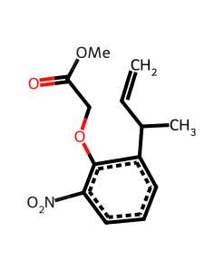 C=CC(C)c1cccc([N+](=O)[O-])c1OCC(=O)OC